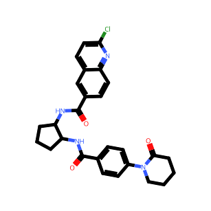 O=C(NC1CCCC1NC(=O)c1ccc2nc(Cl)ccc2c1)c1ccc(N2CCCCC2=O)cc1